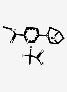 CNC(=O)c1ccc(N2CC3CC(C2)N3)cn1.O=C(O)C(F)(F)F